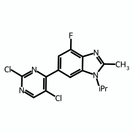 Cc1nc2c(F)cc(-c3nc(Cl)ncc3Cl)cc2n1C(C)C